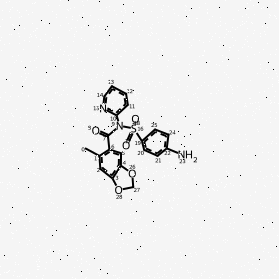 Cc1cc2c(cc1C(=O)N(c1ccccn1)S(=O)(=O)c1ccc(N)cc1)OCO2